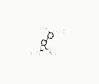 CCOC(=O)c1ccc(-c2ccc3nc(N)nc(NN)c3c2)cc1OCC